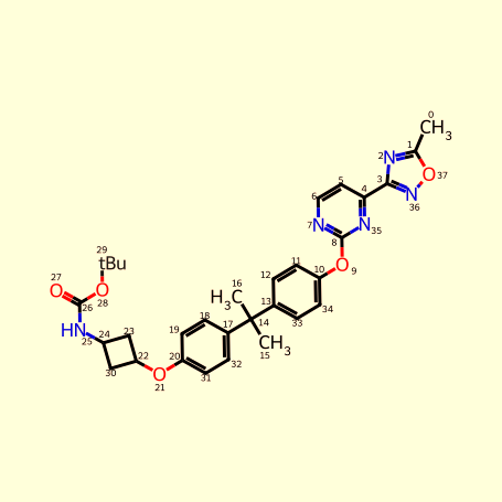 Cc1nc(-c2ccnc(Oc3ccc(C(C)(C)c4ccc(OC5CC(NC(=O)OC(C)(C)C)C5)cc4)cc3)n2)no1